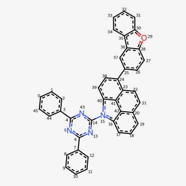 c1ccc(-c2nc(-c3ccccc3)nc(-n3c4cccc5ccc6c(-c7ccc8oc9ccccc9c8c7)ccc3c6c54)n2)cc1